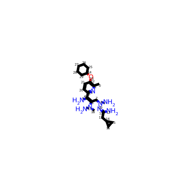 Cc1nc(/C(N)=C(\CN(N)/N=C(\N)CC2CC2)N(C)N)ccc1OC1CCCCC1